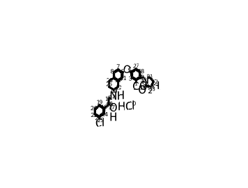 Cl.O=C(O)c1cc(Oc2ccc3c(c2)C[C@@H](NC[C@H](O)c2cccc(Cl)c2)CC3)ccc1N1CCCC1=O